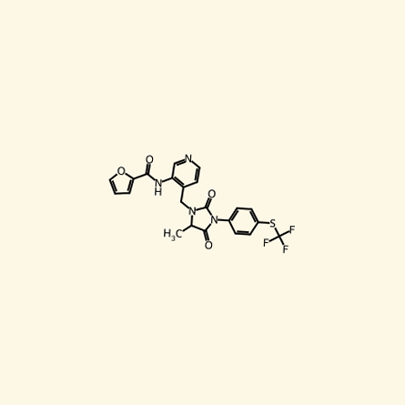 CC1C(=O)N(c2ccc(SC(F)(F)F)cc2)C(=O)N1Cc1ccncc1NC(=O)c1ccco1